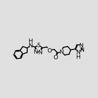 O=C(COCc1nnc(NC2Cc3ccccc3C2)s1)N1CCC(c2cnn[nH]2)CC1